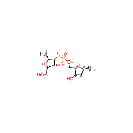 B[C@@H]1O[C@H](CO)CC1OP(=O)(O)OC[C@H]1O[C@@H](B)CC1O